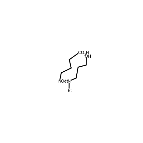 CCCCCCCCCCCC(=O)O.CCNCCCO